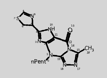 CCCCCn1c2nc(C3CSC=N3)[nH]c2c(=O)n2c(C)nnc12